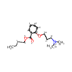 CCCCOC(=O)c1ccccc1OCCCN(C)C